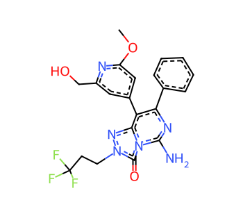 COc1cc(-c2c(-c3ccccc3)nc(N)n3c(=O)n(CCC(F)(F)F)nc23)cc(CO)n1